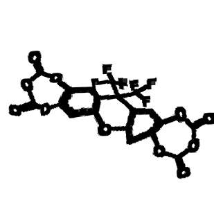 O=C1OC(=O)Oc2cc3c(cc2O1)Oc1cc2c(cc1C3(C(F)(F)F)C(F)(F)F)OC(=O)OC(=O)O2